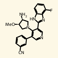 CO[C@@H]1CN(c2c(-c3cccc(C#N)c3)cncc2-c2nc3c(F)cccc3[nH]2)C[C@@H]1N